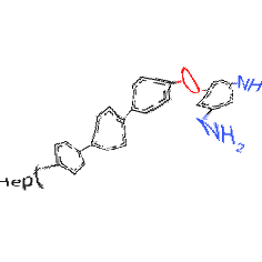 CCCCCCCc1ccc(-c2ccc(-c3ccc(Oc4cc(N)cc(N)c4)cc3)cc2)cc1